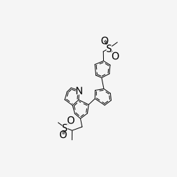 CC(Cc1cc(-c2cccc(-c3ccc(CS(C)(=O)=O)cc3)c2)c2ncccc2c1)S(C)(=O)=O